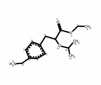 CCOC(=O)C(Cc1ccc(CN)cc1)OC(C)C